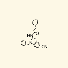 N#Cc1ccc2c(c1)C[C@H](NC(=O)CCC1CCCCC1)CN2Cc1ccccc1